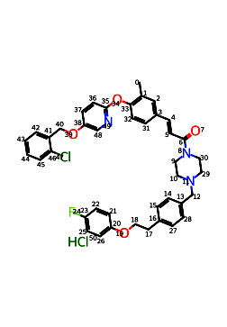 Cc1cc(/C=C/C(=O)N2CCN(Cc3ccc(CCOc4ccc(F)cc4)cc3)CC2)ccc1Oc1ccc(OCc2ccccc2Cl)cn1.Cl